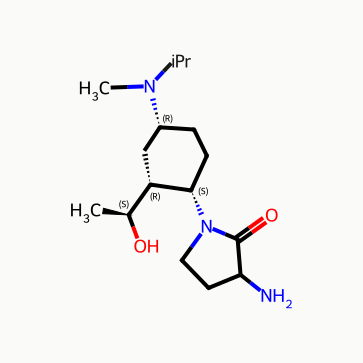 CC(C)N(C)[C@@H]1CC[C@H](N2CCC(N)C2=O)[C@H]([C@H](C)O)C1